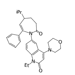 CCn1c(=O)cc(N2CCOCC2)c2cc(N3C(=O)CCC(C(C)C)C=C3c3ccccc3)ccc21